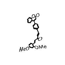 COc1ccc(C=CC(=O)C=Cc2ccc(-c3cc(=O)oc4ccccc34)cc2)c(OC)c1